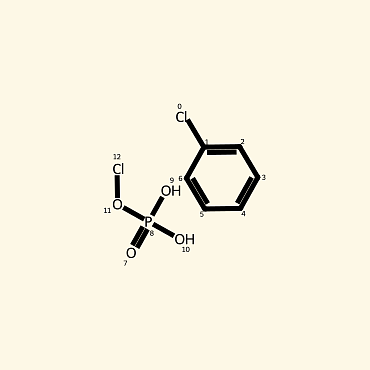 Clc1ccccc1.O=P(O)(O)OCl